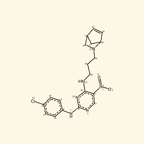 O=[N+]([O-])c1cnc(Nc2ccc(Cl)cc2)nc1NCCCN1CC2C=CC1C2